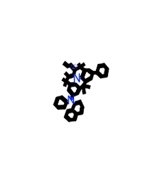 C=C/C=C1\C2=C(C)C(C)(C)c3cc(N(c4ccccc4)c4cccc5ccccc45)cc4c3N2c2c(cc(-c3ccccc3)cc2C4(C)C)C1(C)C